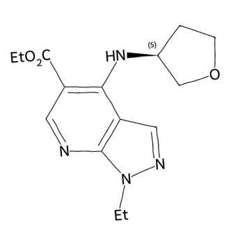 CCOC(=O)c1cnc2c(cnn2CC)c1N[C@H]1CCOC1